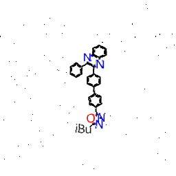 CCC(C)c1nnc(-c2ccc(-c3ccc(-c4nc5ccccc5nc4-c4ccccc4)cc3)cc2)o1